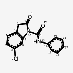 O=C1Cc2ccc(Cl)cc2N1C(=O)Nc1ccccc1